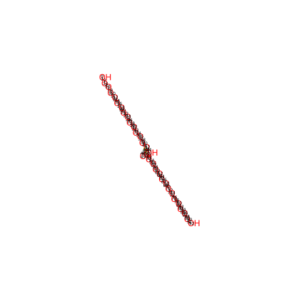 OCCOCCOCCOCCOCCOCCOCCOCCOCCOCCOCCOCCOCCOCCOC(CO)SC(CO)OCCOCCOCCOCCOCCOCCOCCOCCOCCOCCOCCOCCOCCOCCO